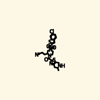 CC1Cc2nc(C(=O)N3CCN(S(=O)(=O)c4cc5ccc(Cl)cc5s4)CC3CCC#N)sc2CN1